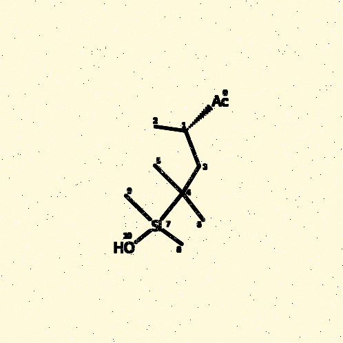 CC(=O)[C@@H](C)CC(C)(C)[Si](C)(C)O